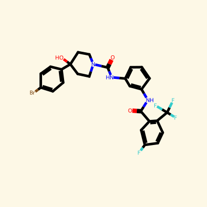 O=C(Nc1cccc(NC(=O)N2CCC(O)(c3ccc(Br)cc3)CC2)c1)c1cc(F)ccc1C(F)(F)F